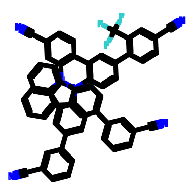 N#Cc1cccc(-c2ccc3c(c2)c2ccccc2n3-c2ccc(-c3ccc(C#N)cc3C(F)(F)F)cc2-c2ccc(C#N)cc2-n2c3ccccc3c3cc(-c4cccc(C#N)c4)ccc32)c1